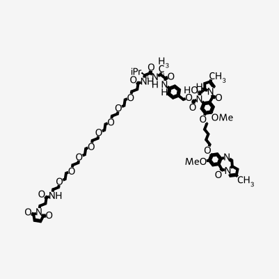 COc1cc2c(cc1OCCCCCOc1cc3c(cc1OC)C(=O)N1C=C(C)C[C@H]1[C@H](O)N3C(=O)OCc1ccc(NC(=O)[C@H](C)NC(=O)[C@@H](NC(=O)CCOCCOCCOCCOCCOCCOCCOCCOCCNC(=O)CCN3C(=O)C=CC3=O)C(C)C)cc1)N=CC1CC(C)=CN1C2=O